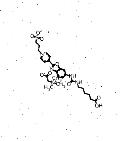 C[N+](C)(C)CC(=O)[O-].O=C(O)CCCCCNC(=O)Nc1ccc2nc(-c3cc[n+](CCCS(=O)(=O)[O-])cc3)oc2c1